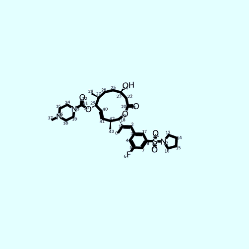 C/C(=C\c1cc(F)cc(S(=O)(=O)N2CCCC2)c1)[C@H]1OC(=O)C[C@H](O)CC[C@H](C)[C@@H](OC(=O)N2CCN(C)CC2)/C=C/[C@@H]1C